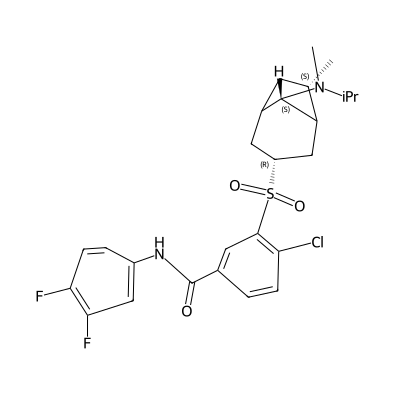 CC(C)N(C)[C@H]1C2C[C@@H](S(=O)(=O)c3cc(C(=O)Nc4ccc(F)c(F)c4)ccc3Cl)CC1[C@@H](C)C2